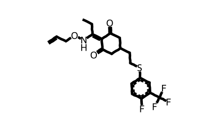 C=CCONC(CC)=C1C(=O)CC(CCSc2ccc(F)c(C(F)(F)F)c2)CC1=O